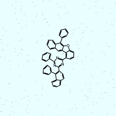 c1ccc(-c2nc(-c3ccc4ccccc4c3-c3ccccc3)nc(-c3cccc4oc5c(-c6ccccc6)c6ccccc6cc5c34)n2)cc1